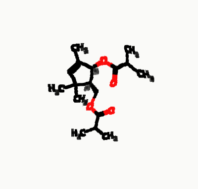 CC1=CC(C)(C)[C@H](COC(=O)C(C)C)[C@@H]1OC(=O)C(C)C